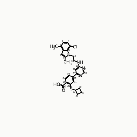 Cc1ccc(Cl)c2c1cc(C)n2CCNc1cc(-c2ccc(C(=O)O)c(SC3CCC3)c2)ncn1